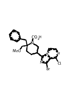 COCC1(Cc2ccccc2)CCC(c2nc(Br)c3c(Cl)nccn23)CN1C(=O)O